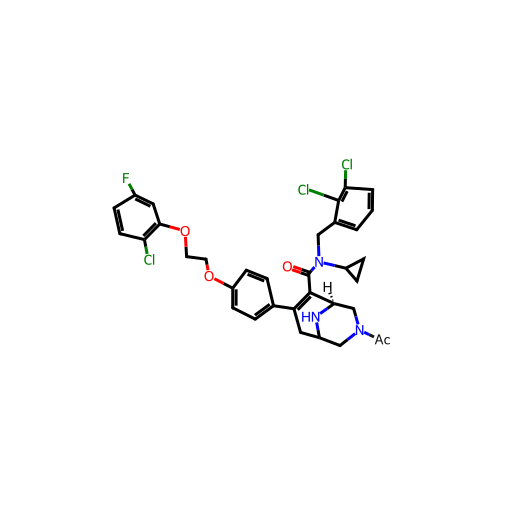 CC(=O)N1CC2CC(c3ccc(OCCOc4cc(F)ccc4Cl)cc3)=C(C(=O)N(Cc3cccc(Cl)c3Cl)C3CC3)[C@@H](C1)N2